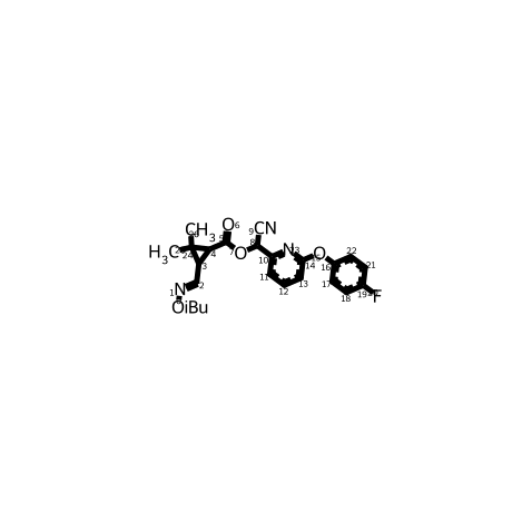 CC(C)CON=CC1C(C(=O)OC(C#N)c2cccc(Oc3ccc(F)cc3)n2)C1(C)C